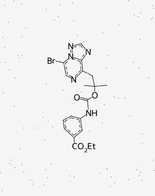 CCOC(=O)c1cccc(NC(=O)OC(C)(C)Cc2ncc(Br)n3ncnc23)c1